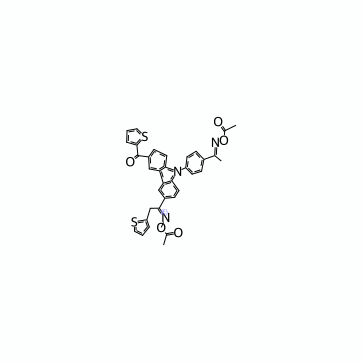 CC(=O)ON=C(C)c1ccc(-n2c3ccc(C(=O)c4cccs4)cc3c3cc(/C(Cc4cccs4)=N/OC(C)=O)ccc32)cc1